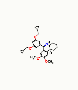 COc1cc2c(cc1OC)[C@@H]1CCCC[C@@H]1N=C2c1cc(OCC2CC2)cc(OCC2CC2)c1